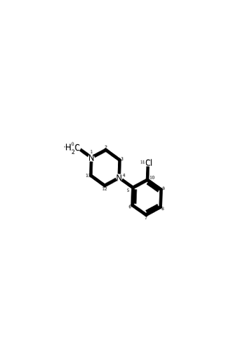 [CH2]N1CCN(c2ccccc2Cl)CC1